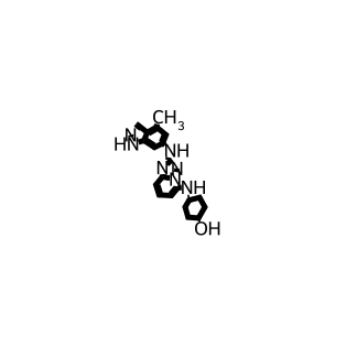 Cc1cc(Nc2nc3cccc(N[C@H]4CC[C@@H](O)CC4)n3n2)cc2[nH]ncc12